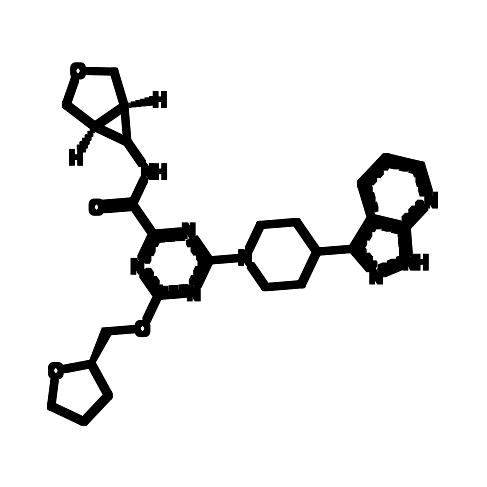 O=C(NC1[C@H]2COC[C@@H]12)c1nc(OC[C@H]2CCCO2)nc(N2CCC(c3n[nH]c4ncccc34)CC2)n1